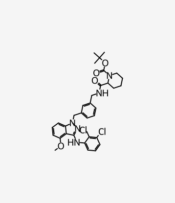 COc1cccc2c1c(Nc1cccc(Cl)c1Cl)nn2Cc1cccc(CNC(=O)C2CCCCN2C(=O)OC(C)(C)C)c1